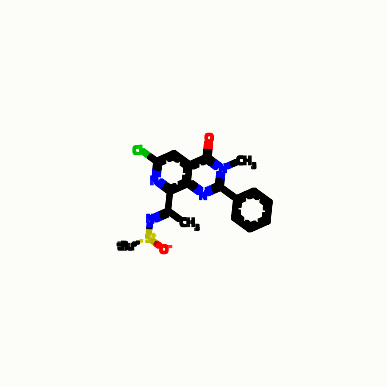 C/C(=N\[S@+]([O-])C(C)(C)C)c1nc(Cl)cc2c(=O)n(C)c(-c3ccccc3)nc12